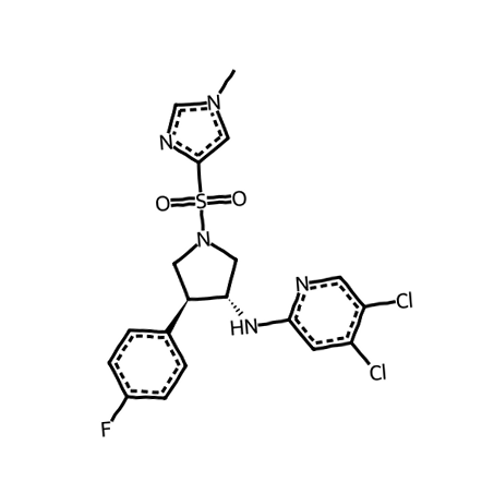 Cn1cnc(S(=O)(=O)N2C[C@H](Nc3cc(Cl)c(Cl)cn3)[C@@H](c3ccc(F)cc3)C2)c1